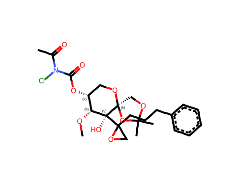 CO[C@@H]1[C@H](OC(=O)N(Cl)C(C)=O)CO[C@]2(COC(C)(C)O2)[C@@]1(O)C1(CCCc2ccccc2)CO1